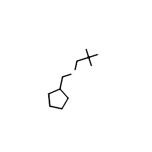 ClC(Cl)(Cl)COCC1CCCC1